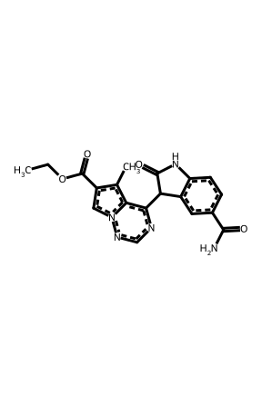 CCOC(=O)c1cn2ncnc(C3C(=O)Nc4ccc(C(N)=O)cc43)c2c1C